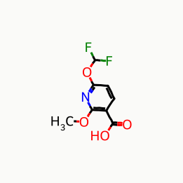 COc1nc(OC(F)F)ccc1C(=O)O